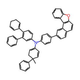 CC1(c2ccccc2)C=CC(N(c2ccc(-c3ccc4ccc5oc6ccccc6c5c4c3)cc2)c2ccc(C3=CCCC=C3)c(-c3ccccc3)c2)=CC1